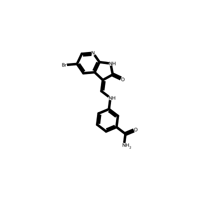 NC(=O)c1cccc(N/C=C2\C(=O)Nc3ncc(Br)cc32)c1